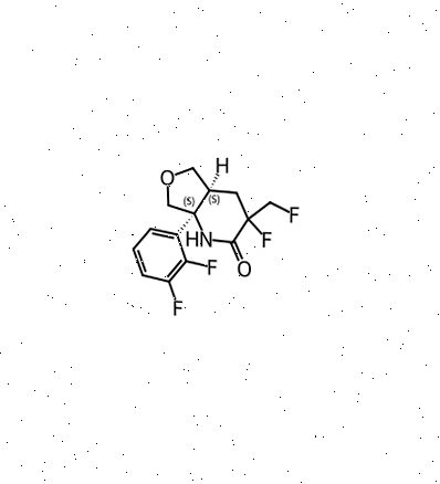 O=C1N[C@@]2(c3cccc(F)c3F)COC[C@H]2CC1(F)CF